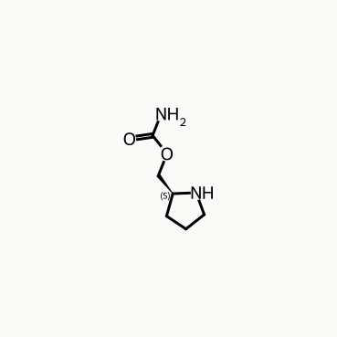 NC(=O)OC[C@@H]1CCCN1